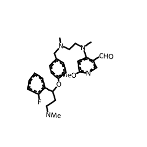 CNCCC(Oc1ccc(CN(C)CCN(C)c2cc(OC)ncc2C=O)cc1)c1ccccc1F